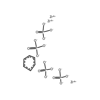 O=P([O-])([O-])[O-].O=P([O-])([O-])[O-].O=P([O-])([O-])[O-].O=P([O-])([O-])[O-].[Zr+4].[Zr+4].[Zr+4].c1ccccc1